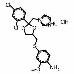 COc1cc(SCC2COC(Cn3ccnc3)(c3ccc(Cl)cc3Cl)O2)ccc1N.Cl.Cl